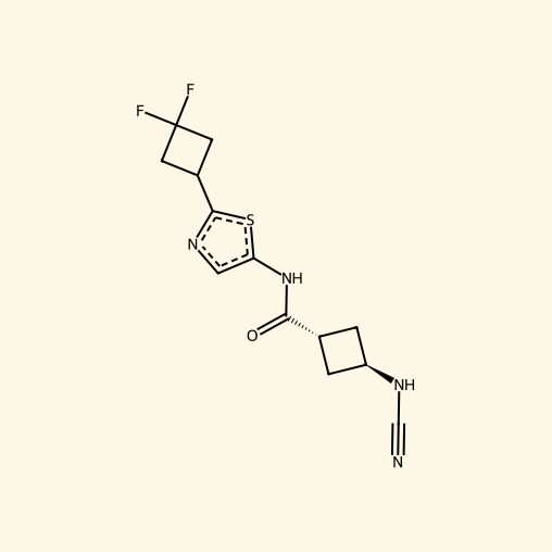 N#CN[C@H]1C[C@H](C(=O)Nc2cnc(C3CC(F)(F)C3)s2)C1